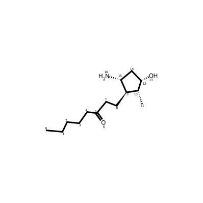 CCCCCC(=O)CC[C@@H]1[C@@H](C)[C@@H](O)C[C@H]1N